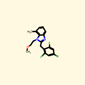 COCCn1c(Cc2c(F)cc(Br)cc2F)nc2cccc(C)c21